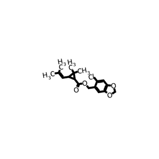 CC(C)=CC1C(C(=O)OCc2cc3c(cc2Cl)OCO3)C1(C)C